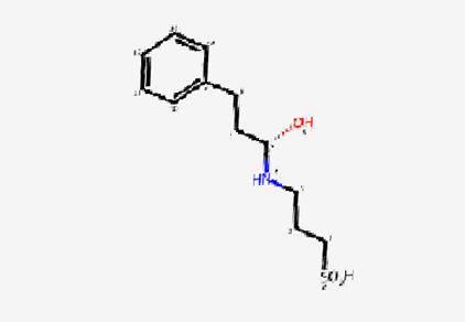 O=S(=O)(O)CCCN[C@@H](O)CCc1ccccc1